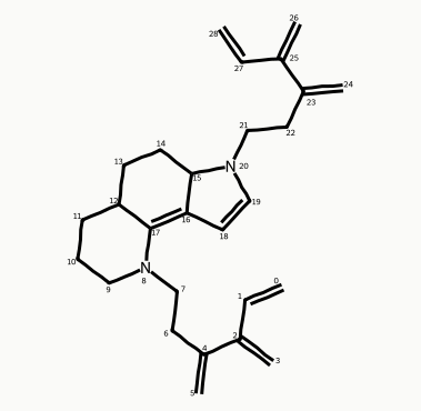 C=CC(=C)C(=C)CCN1CCCC2CCC3C(=C21)C=CN3CCC(=C)C(=C)C=C